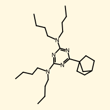 CCCCN(CCCC)c1nc(N(CCCC)CCCC)nc(C23CCC(CC2)C3)n1